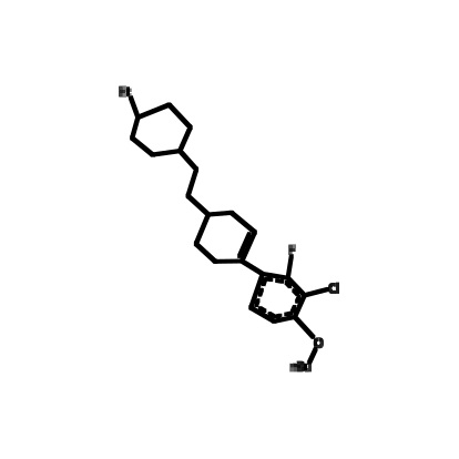 CCCCOc1ccc(C2=CCC(CCC3CCC(CC)CC3)CC2)c(F)c1Cl